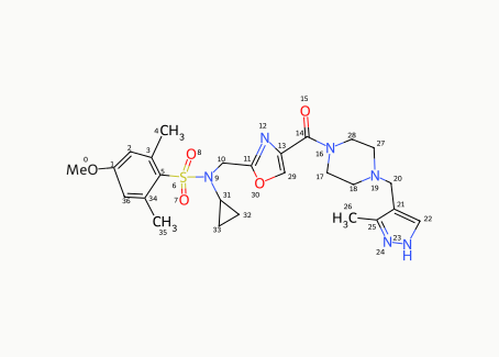 COc1cc(C)c(S(=O)(=O)N(Cc2nc(C(=O)N3CCN(Cc4c[nH]nc4C)CC3)co2)C2CC2)c(C)c1